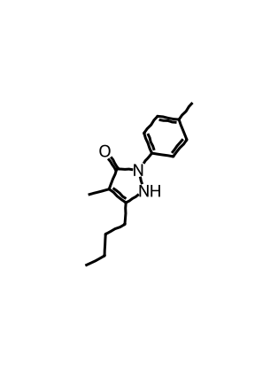 CCCCc1[nH]n(-c2ccc(C)cc2)c(=O)c1C